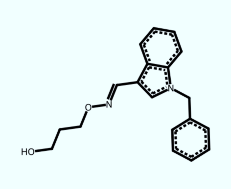 OCCCON=Cc1cn(Cc2ccccc2)c2ccccc12